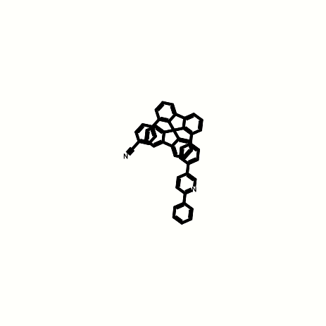 N#Cc1ccc(-c2cccc3c2C2(c4ccccc4-c4ccccc42)c2c(-c4ccc(-c5ccc(-c6ccccc6)nc5)cc4)cccc2-3)cc1